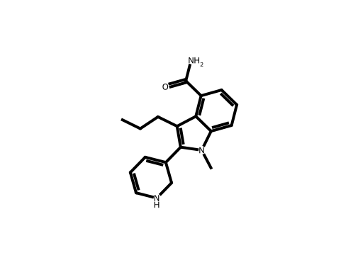 CCCc1c(C2=CC=CNC2)n(C)c2cccc(C(N)=O)c12